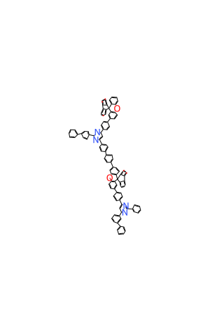 c1ccc(-c2ccc(-c3nc(-c4ccc(-c5ccc(-c6ccc7c(c6)Oc6ccc(-c8ccc(-c9cc(-c%10cccc(-c%11ccccc%11)c%10)nc(-c%10ccccc%10)n9)cc8)cc6C76c7ccccc7-c7ccccc76)cc5)cc4)cc(-c4ccc(-c5ccc6c(c5)C5(c7ccccc7O6)c6ccccc6-c6ccccc65)cc4)n3)cc2)cc1